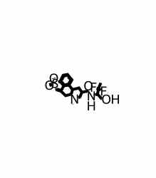 CN1CC(C(=O)NC(CO)C(C)(F)F)CC2c3cccc4c3C(=CS4(=O)=O)CC21